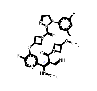 CN/C(=C(\C=N)C(=O)N1CC(OC)C1)c1cc(OC2CN(C(=O)N3N=CC[C@H]3c3cc(F)cc(F)c3)C2)c(F)cn1